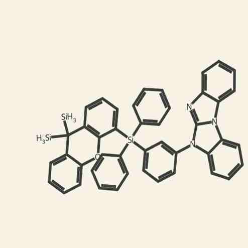 [SiH3]C1([SiH3])c2ccccc2Oc2c1cccc2[Si](c1ccccc1)(c1ccccc1)c1cccc(-n2c3ccccc3n3c4ccccc4nc23)c1